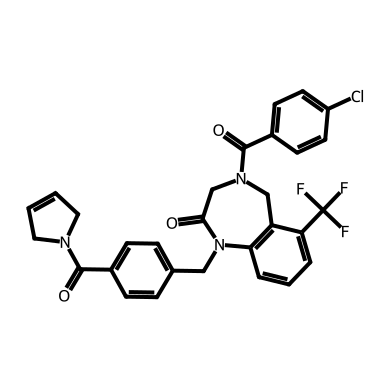 O=C(c1ccc(CN2C(=O)CN(C(=O)c3ccc(Cl)cc3)Cc3c2cccc3C(F)(F)F)cc1)N1CC=CC1